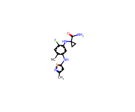 Cc1cc(Nc2cc(NC3(C(N)=O)CC3)c(F)cc2C#N)sn1